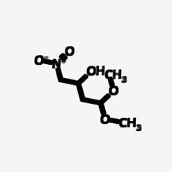 COC(CC(O)C[N+](=O)[O-])OC